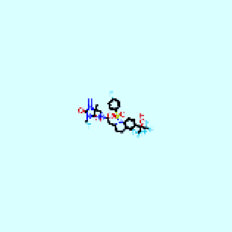 CC1(CNC(=O)CC2CCc3cc(C(O)(C(F)(F)F)C(F)(F)F)ccc3N2S(=O)(=O)c2ccc(F)cc2)NC(=O)N(CF)C1=O